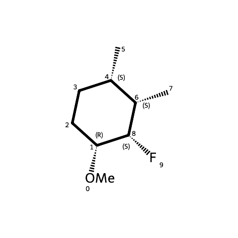 CO[C@@H]1CC[C@H](C)[C@H](C)[C@@H]1F